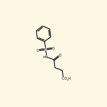 O=C(O)CCC(=O)NS(=O)(=O)c1ccccc1